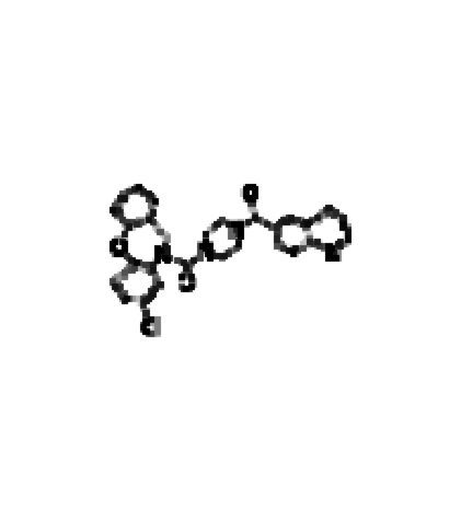 O=C(c1ccc2ncccc2c1)N1CCN(C(=O)N2Cc3ccccc3Oc3ccc(Cl)cc32)CC1